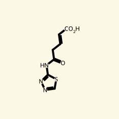 O=C(O)C=CCC(=O)Nc1nncs1